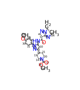 C=CN1N=CC(C(=O)Nc2cc(C3CCN(C(=O)OC)CC3)nn2-c2ccc(OC)cc2)C1/N=C\C